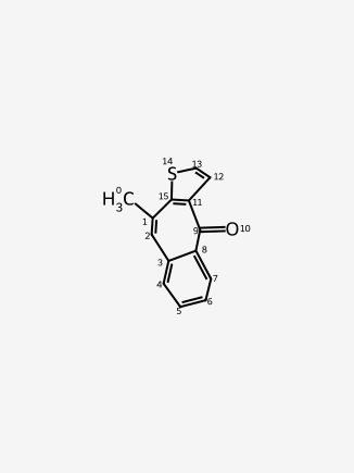 Cc1cc2ccccc2c(=O)c2ccsc12